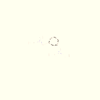 CN(C)Cc1[c]c(CN(C)C)ccc1